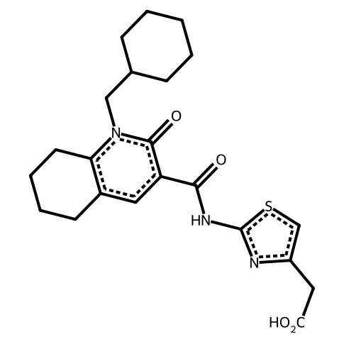 O=C(O)Cc1csc(NC(=O)c2cc3c(n(CC4CCCCC4)c2=O)CCCC3)n1